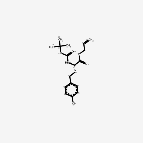 C=CCOC(=O)[C@H](CCc1ccc(O)cc1)NC(=O)OC(C)(C)C